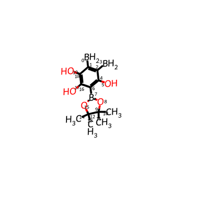 Bc1c(B)c(O)c(B2OC(C)(C)C(C)(C)O2)c(O)c1O